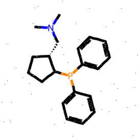 CN(C)C[C@H]1CCCC1P(c1ccccc1)c1ccccc1